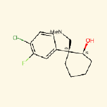 CNC[C@]1(c2ccc(Cl)c(F)c2)CCCC[C@@H]1O